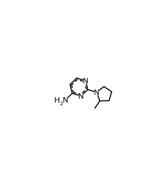 CC1CCCN1c1nccc(N)n1